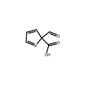 O=[C]C1(C(=O)O)C=CC=N1